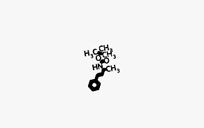 CC(C=Cc1ccccc1)NC(=O)OC(C)(C)C